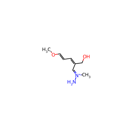 CO/C=C/C=C(\C=[N+](/C)N)CO